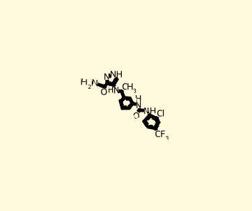 CC(Nc1c[nH]nc1C(N)=O)c1cccc(NC(=O)Nc2ccc(C(F)(F)F)cc2Cl)c1